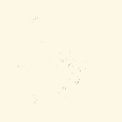 COc1ccc(COC(=O)C(C(=O)N[C@@H]2C(=O)N3C[C@@](C(=O)OC(c4ccccc4)c4ccccc4)(N4CCN(NC(=O)CNC(=O)OCc5ccc([N+](=O)[O-])cc5)C4=O)S[C@H]23)c2ccc(OCc3ccc(OC)cc3)cc2)cc1